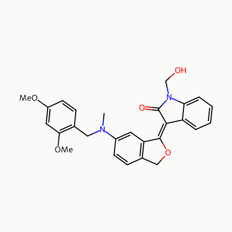 COc1ccc(CN(C)c2ccc3c(c2)C(=C2C(=O)N(CO)c4ccccc42)OC3)c(OC)c1